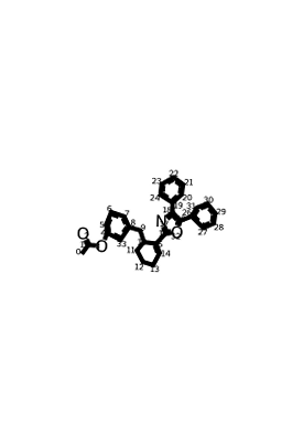 CC(=O)Oc1cccc(CC2CCCC=C2c2nc(-c3ccccc3)c(-c3ccccc3)o2)c1